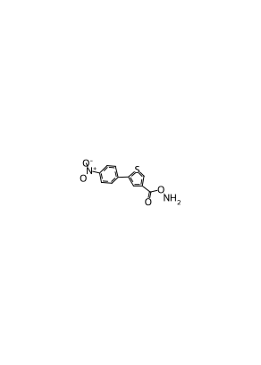 NOC(=O)c1csc(-c2ccc([N+](=O)[O-])cc2)c1